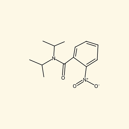 CC(C)N(C(=O)c1ccccc1[N+](=O)[O-])C(C)C